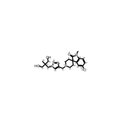 CN1C(=O)C2(CCN(Cc3cn(CC(C)(CO)CO)nn3)CC2)c2cc(Cl)ccc21